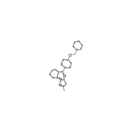 Cc1cc2nc(-c3ccc(OCc4ccccc4)cc3)c3ccccc3n2n1